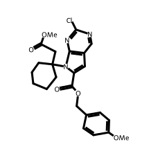 COC(=O)CC1(n2c(C(=O)OCc3ccc(OC)cc3)cc3cnc(Cl)nc32)CCCCC1